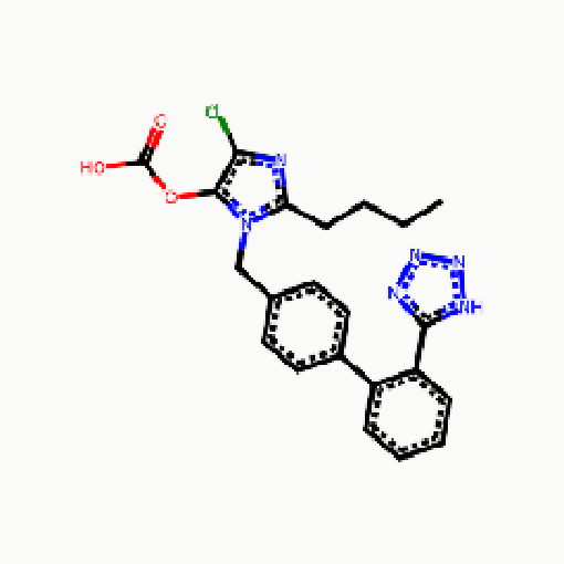 CCCCc1nc(Cl)c(OC(=O)O)n1Cc1ccc(-c2ccccc2-c2nnn[nH]2)cc1